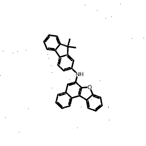 CC1(C)c2ccccc2-c2ccc(Nc3cc4ccccc4c4c3oc3ccccc34)cc21